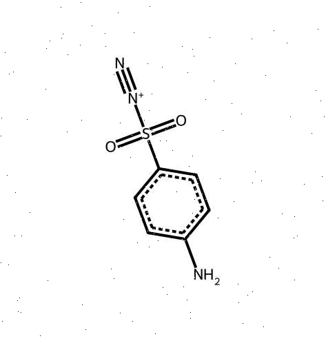 N#[N+]S(=O)(=O)c1ccc(N)cc1